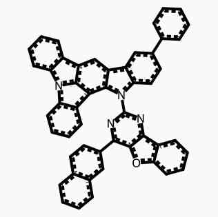 c1ccc(-c2ccc3c(c2)c2cc4c5ccccc5n5c6ccccc6c(c2n3-c2nc(-c3ccc6ccccc6c3)c3oc6ccccc6c3n2)c45)cc1